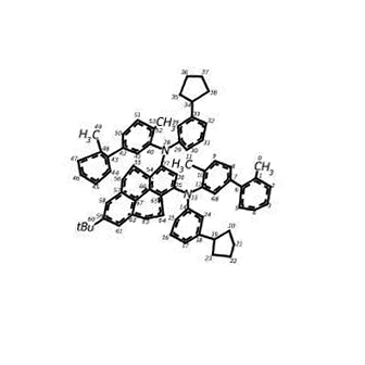 Cc1ccccc1-c1ccc(C)c(N(c2cccc(C3CCCC3)c2)c2cc(N(c3cccc(C4CCCC4)c3)c3cc(-c4ccccc4C)ccc3C)c3ccc4cc(C(C)(C)C)cc5ccc2c3c54)c1